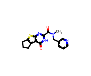 CN(Cc1cccnc1)C(=O)c1nc2sc3c(c2c(=O)[nH]1)CCC3